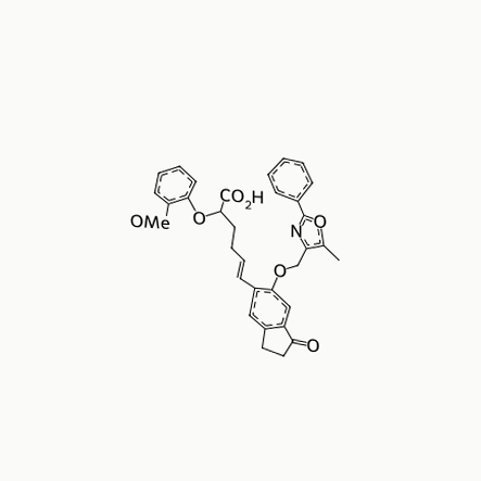 COc1ccccc1OC(CCC=Cc1cc2c(cc1OCc1nc(-c3ccccc3)oc1C)C(=O)CC2)C(=O)O